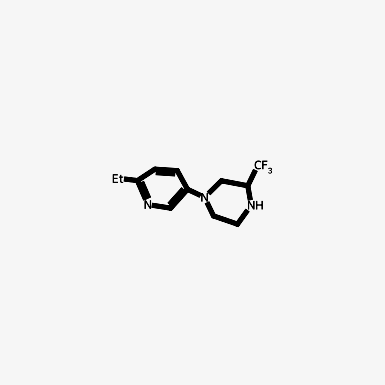 CCc1ccc(N2CCNC(C(F)(F)F)C2)cn1